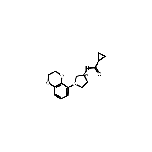 O=C(N[C@H]1CCN(c2cccc3c2OCCO3)C1)C1CC1